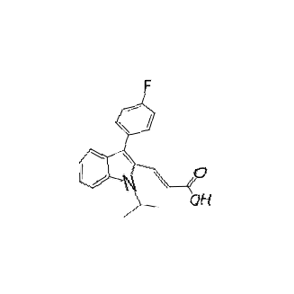 CC(C)n1c(C=CC(=O)O)c(-c2ccc(F)cc2)c2ccccc21